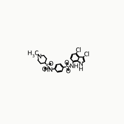 CN1CCC(S(=O)(=O)Nc2ccc(S(=O)(=O)Nc3ccc(Cl)c4c(Cl)c[nH]c34)cc2)CC1